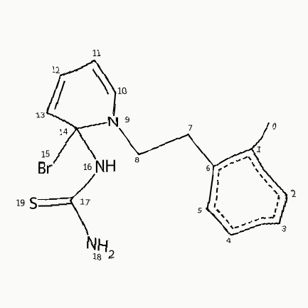 Cc1ccccc1CCN1C=CC=CC1(Br)NC(N)=S